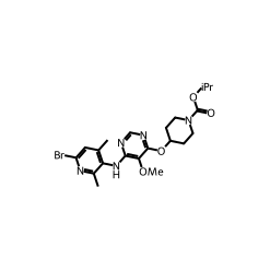 COc1c(Nc2c(C)cc(Br)nc2C)ncnc1OC1CCN(C(=O)OC(C)C)CC1